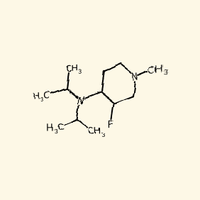 CC(C)N(C(C)C)C1CCN(C)CC1F